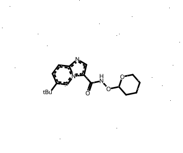 CC(C)(C)c1ccc2ncc(C(=O)NOC3CCCCO3)n2c1